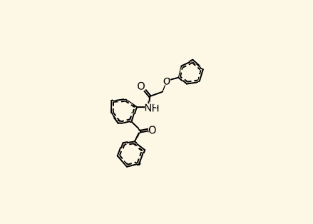 O=C(COc1ccccc1)Nc1ccccc1C(=O)c1ccccc1